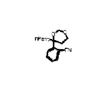 CCCCCC1(c2ccccc2C#N)CCOCO1